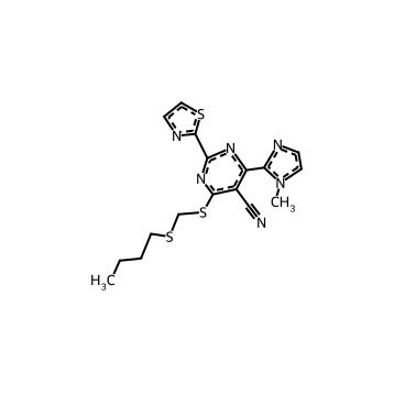 CCCCSCSc1nc(-c2nccs2)nc(-c2nccn2C)c1C#N